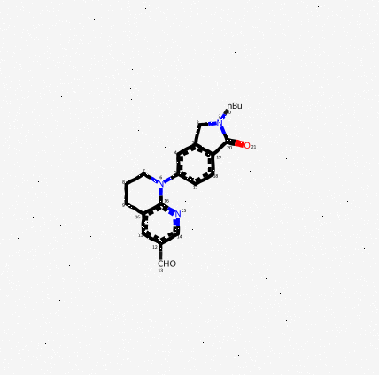 CCCCN1Cc2cc(N3CCCc4cc(C=O)cnc43)ccc2C1=O